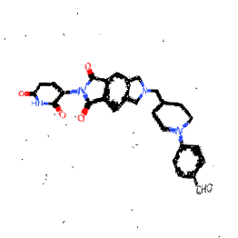 O=Cc1ccc(N2CCC(CN3Cc4cc5c(cc4C3)C(=O)N(C3CCC(=O)NC3=O)C5=O)CC2)cc1